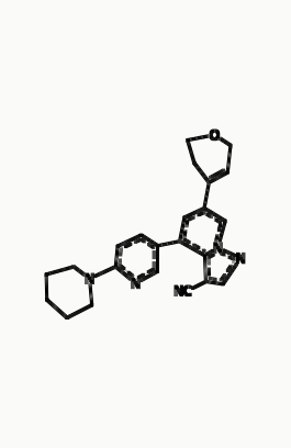 N#Cc1cnn2cc(C3=CCOCC3)cc(-c3ccc(N4CCCCC4)nc3)c12